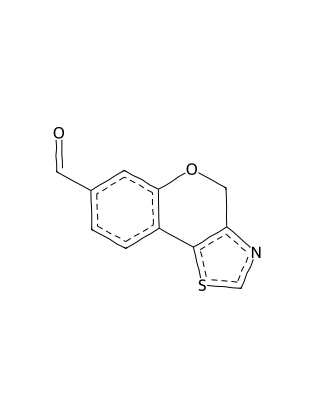 O=Cc1ccc2c(c1)OCc1ncsc1-2